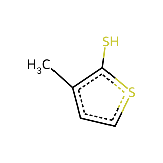 Cc1ccsc1S